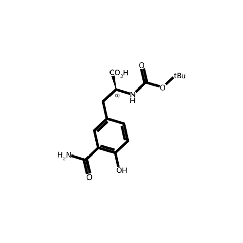 CC(C)(C)OC(=O)N[C@@H](Cc1ccc(O)c(C(N)=O)c1)C(=O)O